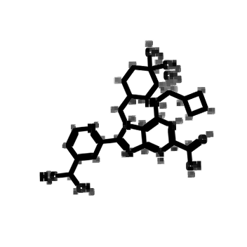 CC(C)c1ccnc(-c2nc3nc(C(=O)O)nc(N[C@H](C)C4CCC4)c3n2CC2CCC(C)(C)CC2)c1